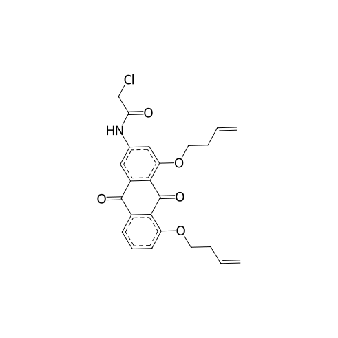 C=CCCOc1cccc2c1C(=O)c1c(OCCC=C)cc(NC(=O)CCl)cc1C2=O